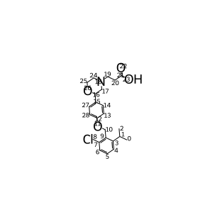 CC(C)c1cccc(Cl)c1COc1ccc(C2CN(CCC(=O)O)CCO2)cc1